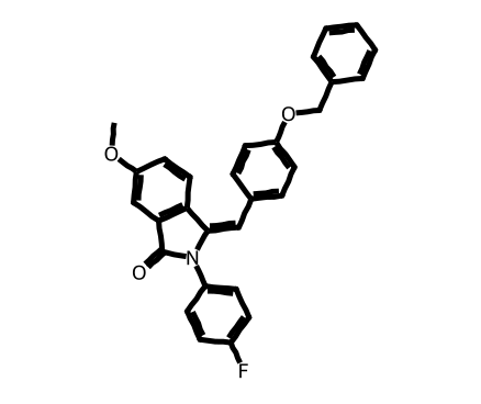 COc1ccc2c(c1)C(=O)N(c1ccc(F)cc1)C2=Cc1ccc(OCc2ccccc2)cc1